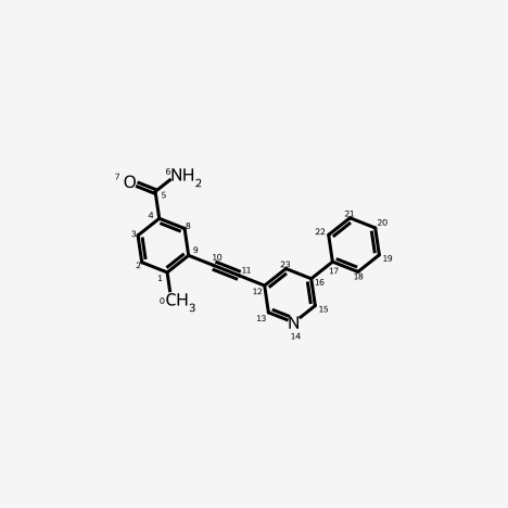 Cc1ccc(C(N)=O)cc1C#Cc1cncc(-c2ccccc2)c1